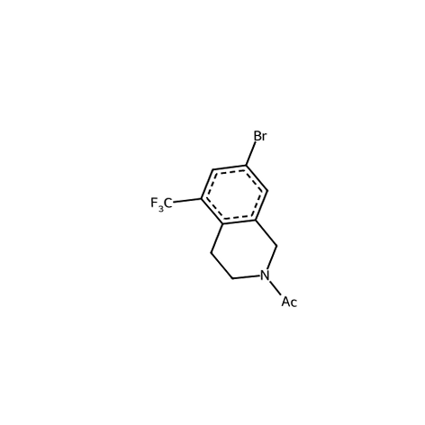 CC(=O)N1CCc2c(cc(Br)cc2C(F)(F)F)C1